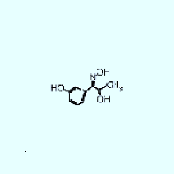 CC(O)C(=NO)c1cccc(O)c1